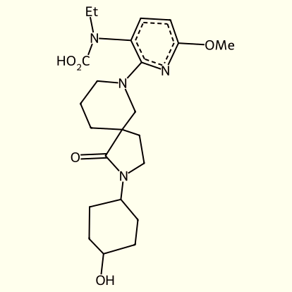 CCN(C(=O)O)c1ccc(OC)nc1N1CCCC2(CCN(C3CCC(O)CC3)C2=O)C1